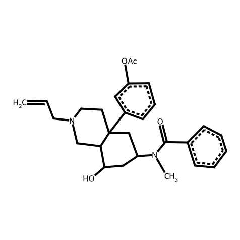 C=CCN1CCC2(c3cccc(OC(C)=O)c3)CC(N(C)C(=O)c3ccccc3)CC(O)C2C1